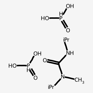 CC(C)NC(=O)N(C)C(C)C.O=[PH](O)O.O=[PH](O)O